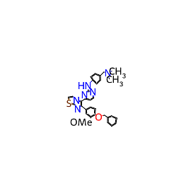 COc1cc(-c2nc3sccn3c2-c2ccnc(Nc3ccc(CN(C)C)cc3)n2)ccc1OCc1ccccc1